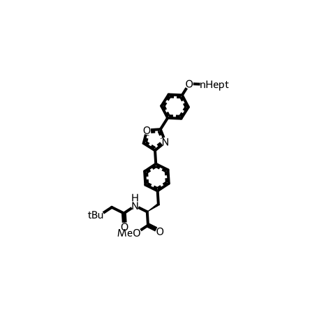 CCCCCCCOc1ccc(-c2nc(-c3ccc(C[C@H](NC(=O)CC(C)(C)C)C(=O)OC)cc3)co2)cc1